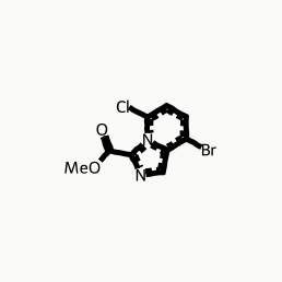 COC(=O)c1ncc2c(Br)ccc(Cl)n12